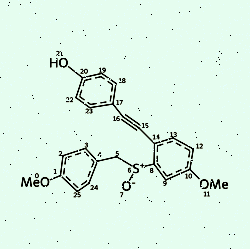 COc1ccc(C[S+]([O-])c2cc(OC)ccc2C#Cc2ccc(O)cc2)cc1